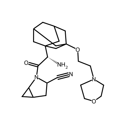 N#CC1CC2CC2N1C(=O)[C@@H](N)C12CC3CC(CC(OCCN4CCOCC4)(C3)C1)C2